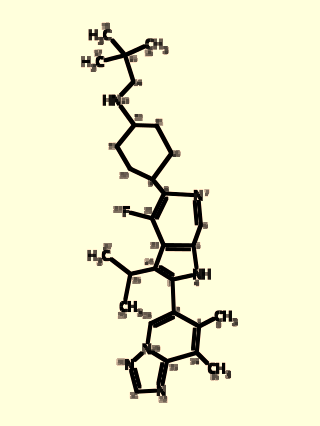 Cc1c(-c2[nH]c3cnc(C4CCC(NCC(C)(C)C)CC4)c(F)c3c2C(C)C)cn2ncnc2c1C